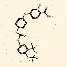 CNC(=O)c1ccc(Oc2ccc(NC(=O)Nc3ccc4c(c3)C(F)(F)OC(F)(F)O4)cc2)c[n+]1[O-]